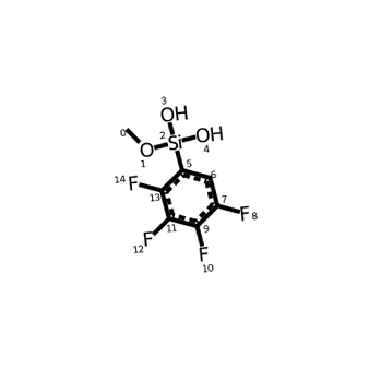 CO[Si](O)(O)c1cc(F)c(F)c(F)c1F